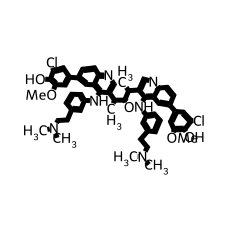 COc1cc(-c2ccc3ncc(C(C)C(=O)C(C)c4cnc5ccc(-c6cc(Cl)c(O)c(OC)c6)cc5c4Nc4cccc(CCN(C)C)c4)c(Nc4cccc(CCN(C)C)c4)c3c2)cc(Cl)c1O